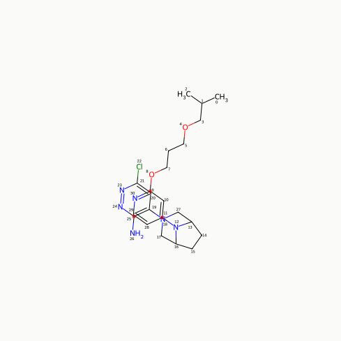 CC(C)COCCCOc1cc(N2C3CCC2CN(c2cc(Cl)nnc2N)C3)ccn1